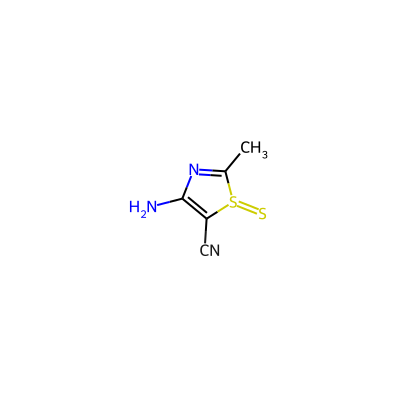 CC1=NC(N)=C(C#N)S1=S